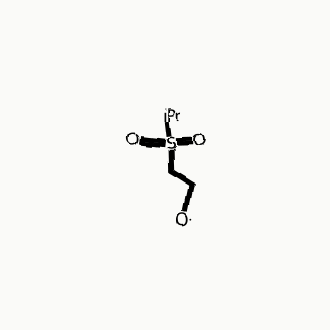 CC(C)S(=O)(=O)CC[O]